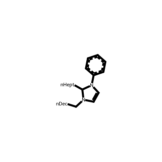 CCCCCCCCCCCN1C=CN(c2ccccc2)C1CCCCCCC